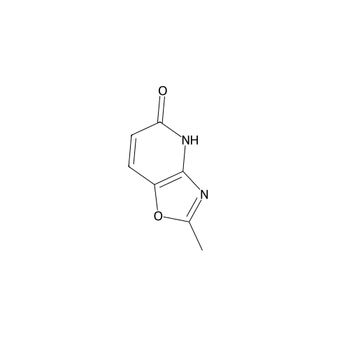 Cc1nc2[nH]c(=O)ccc2o1